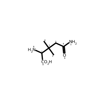 CC(C)(CC(N)=O)C(N)C(=O)O